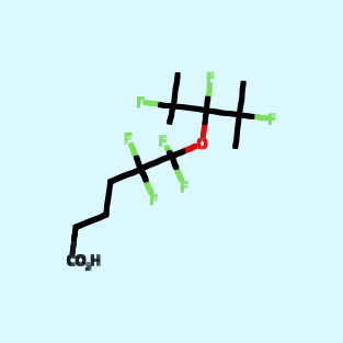 CC(C)(F)C(F)(OC(F)(F)C(F)(F)CCCC(=O)O)C(C)(C)F